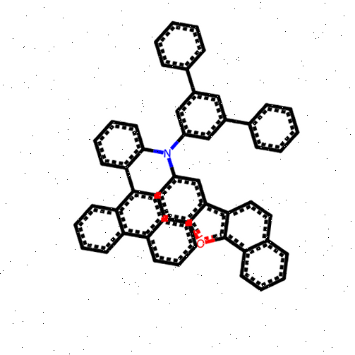 c1ccc(-c2cc(-c3ccccc3)cc(N(c3ccc4oc5c6ccccc6ccc5c4c3)c3ccccc3-c3cc4ccccc4c4ccccc34)c2)cc1